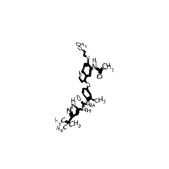 COCCOc1cc2nccc(Oc3ccc(NC(=O)Nc4cc(C(C)(C)C)n[nH]4)c(C)c3)c2cc1NC(C)=O